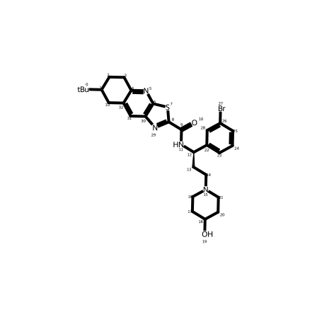 CC(C)(C)C1CCc2nc3sc(C(=O)N[C@H](CCN4CCC(O)CC4)c4cccc(Br)c4)nc3cc2C1